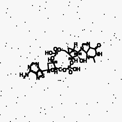 CC1=NC2C(N=CN2[C@H]2[C@H](O)[C@@H]3OP(=O)(O)OC[C@H]4O[C@@H](c5snc6c(N)ncnc56)C[C@@H]4OP(=O)(O)OCC34C[C@H]24)C(=O)N1